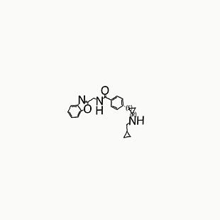 O=C(NCc1nc2ccccc2o1)c1ccc([C@@H]2C[C@H]2NCC2CC2)cc1